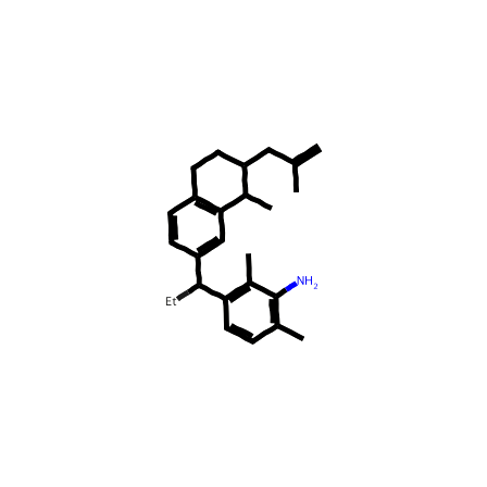 C=C(C)CC1CCc2ccc(C(CC)c3ccc(C)c(N)c3C)cc2C1C